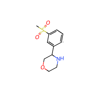 CS(=O)(=O)c1cc[c]c(C2COCCN2)c1